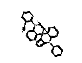 N#Cc1cccnc1N1c2ccccc2[Si]2(c3ccccc3N(c3ccccc3)c3ccccc32)c2ccccc21